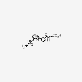 NCCC(=O)NCc1cccn2cc(-c3cccc(C(=O)NCCC(=O)O)c3)nc12